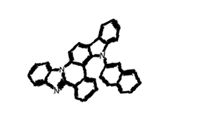 c1ccc2cc(-n3c4ccccc4c4ccc5c(c6ccccc6c6nc7ccccc7n56)c43)ccc2c1